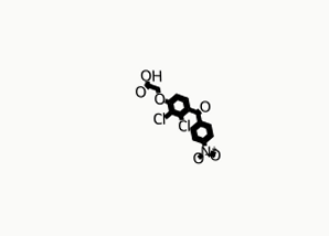 O=C(O)COc1ccc(C(=O)c2ccc([N+](=O)[O-])cc2)c(Cl)c1Cl